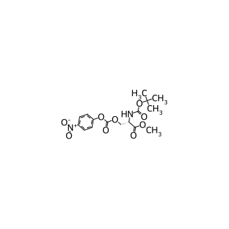 COC(=O)[C@H](COC(=O)Oc1ccc([N+](=O)[O-])cc1)NC(=O)OC(C)(C)C